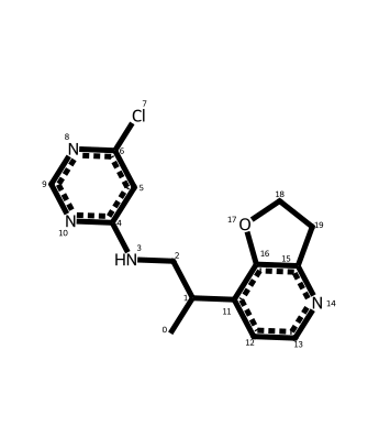 CC(CNc1cc(Cl)ncn1)c1ccnc2c1OCC2